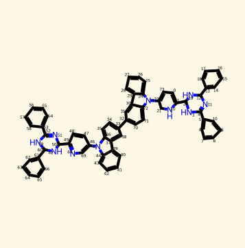 C1=C(C2NC(c3ccccc3)=NC(c3ccccc3)N2)NCC(n2c3ccccc3c3cc(-c4ccc5c(c4)c4ccccc4n5-c4ccc(C5N=C(c6ccccc6)NC(c6ccccc6)N5)nc4)ccc32)=C1